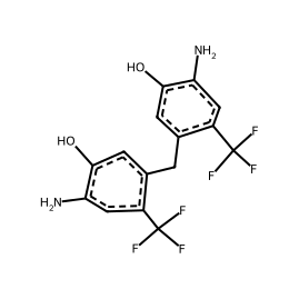 Nc1cc(C(F)(F)F)c(Cc2cc(O)c(N)cc2C(F)(F)F)cc1O